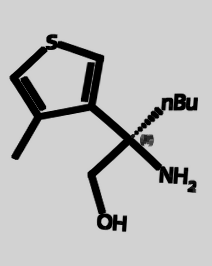 CCCC[C@](N)(CO)c1cscc1C